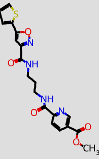 COC(=O)c1ccc(C(=O)NCCCNC(=O)c2cc(-c3cccs3)on2)nc1